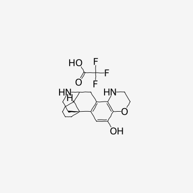 O=C(O)C(F)(F)F.Oc1cc2c(c3c1OCCN3)CC1NCC[C@]23CCCC[C@H]13